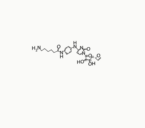 NCCCCCC(=O)Nc1ccc(Nc2ccn([C@@H]3O[C@H](C4C=CO4)[C@@H](O)[C@H]3O)c(=O)n2)cc1